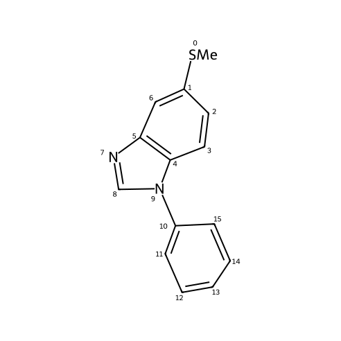 CSc1ccc2c(c1)ncn2-c1ccccc1